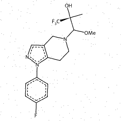 COC(N1CCc2c(cnn2-c2ccc(F)cc2)C1)[C@@](C)(O)C(F)(F)F